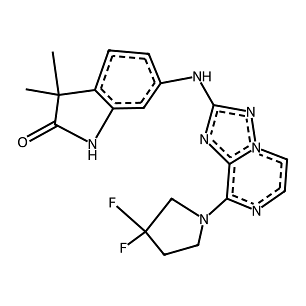 CC1(C)C(=O)Nc2cc(Nc3nc4c(N5CCC(F)(F)C5)nccn4n3)ccc21